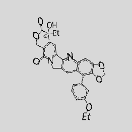 CCOc1cccc(-c2c3c(cc4nc5c(cc24)Cn2c-5cc4c(c2=O)COC(=O)[C@]4(O)CC)OCO3)c1